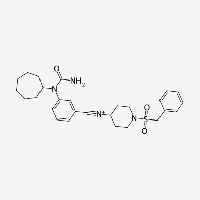 NC(=O)N(c1cccc(C#[N+]C2CCN(S(=O)(=O)Cc3ccccc3)CC2)c1)C1CCCCCC1